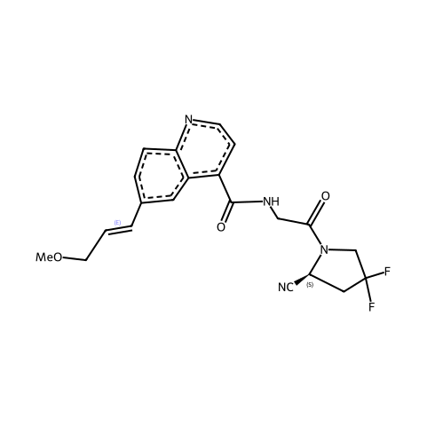 COC/C=C/c1ccc2nccc(C(=O)NCC(=O)N3CC(F)(F)C[C@H]3C#N)c2c1